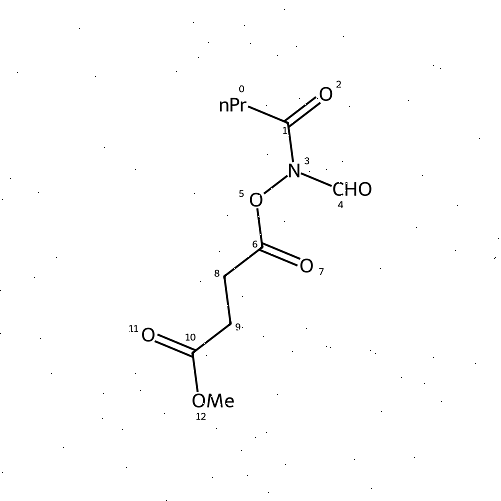 CCCC(=O)N(C=O)OC(=O)CCC(=O)OC